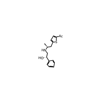 CC(=O)c1ccc(C[C@H](C)NC[C@@H](O)c2ccccc2)s1